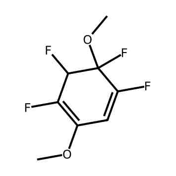 COC1=C(F)C(F)C(F)(OC)C(F)=C1